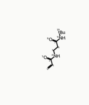 C=CC(=O)NCCC(=O)NC(C)(C)C